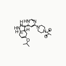 CC(C)OC1=CC[C@H]2NN[C@@H]([C@H]3C=C(N4CCN(S(C)(=O)=O)CC4)N=CN3)[C@H]2C1